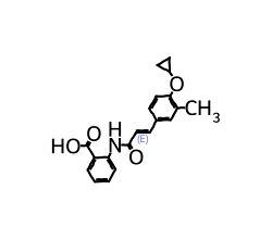 Cc1cc(/C=C/C(=O)Nc2ccccc2C(=O)O)ccc1OC1CC1